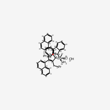 CC(C)CC1=C(c2cccc3ccccc23)c2ccccc2[CH]1[Zr]([CH3])([CH3])(=[SiH2])[CH]1C(CC(C)C)=C(c2cccc3ccccc23)c2ccccc21.Cl.Cl